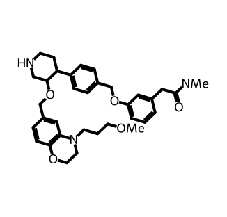 CNC(=O)Cc1cccc(OCc2ccc(C3CCNCC3OCc3ccc4c(c3)N(CCCOC)CCO4)cc2)c1